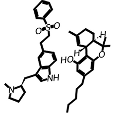 CCCCCc1cc(O)c2c(c1)OC(C)(C)[C@@H]1CCC(C)=C[C@@H]21.CN1CCC[C@@H]1Cc1c[nH]c2ccc(CCS(=O)(=O)c3ccccc3)cc12